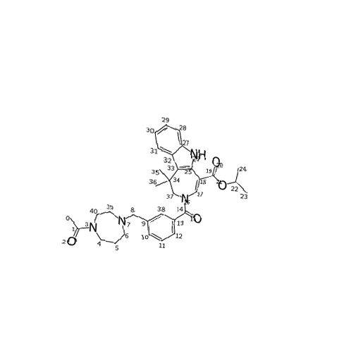 CC(=O)N1CCCN(Cc2cccc(C(=O)N3C=C(C(=O)OC(C)C)c4[nH]c5ccccc5c4C(C)(C)C3)c2)CC1